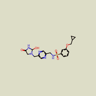 O=C1CN(Cc2cnc(CNS(=O)(=O)c3cccc(OCC4CC4)c3)cn2)C(O)N1